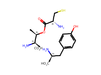 C[C@@H](OC(=O)[C@@H](N)CS)[C@H](N)C(=O)O.N[C@@H](Cc1ccc(O)cc1)C(=O)O